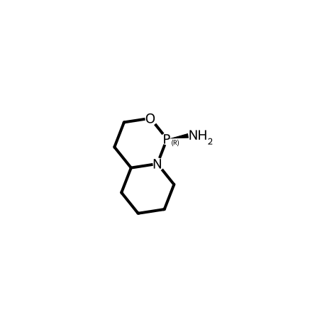 N[P@]1OCCC2CCCCN21